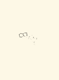 NC(=O)C[C@H](NC(=O)c1ccc2ccccc2n1)C(N)=O